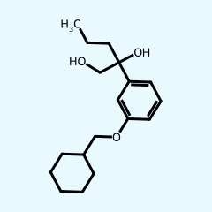 CCCC(O)(CO)c1cccc(OCC2CCCCC2)c1